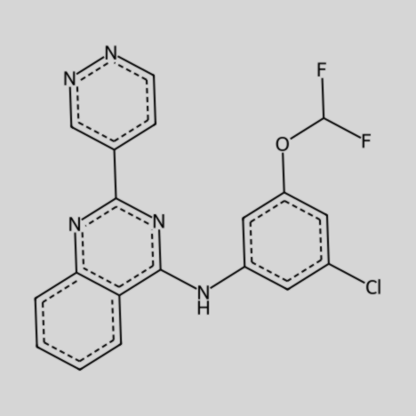 FC(F)Oc1cc(Cl)cc(Nc2nc(-c3ccnnc3)nc3ccccc23)c1